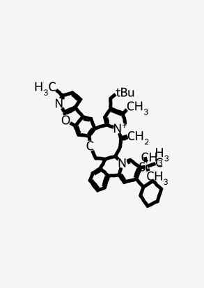 C=C1CC2C(CCc3cc4oc5nc(C)ccc5c4cc3-c3cc(CC(C)(C)C)c(C)c[n+]31)c1ccccc1-c1cc(C3CCCCC3)c([Si](C)(C)C)c[n+]12